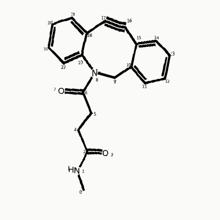 CNC(=O)CCC(=O)N1Cc2ccccc2C#Cc2ccccc21